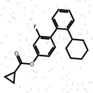 O=C(Oc1ccc(-c2ccccc2C2CCCCC2)c(F)c1)C1CC1